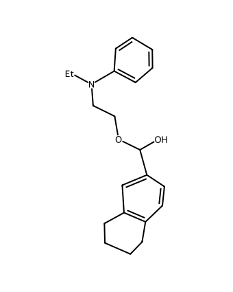 CCN(CCOC(O)c1ccc2c(c1)CCCC2)c1ccccc1